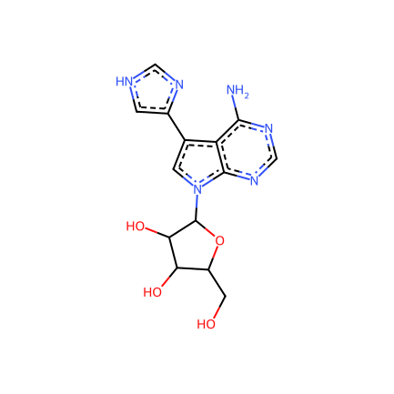 Nc1ncnc2c1c(-c1c[nH]cn1)cn2C1OC(CO)C(O)C1O